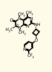 Cc1nc(N[C@H]2C[C@H](Oc3ccnc(C(F)(F)F)c3)C2)nc2c1N(C)C(=O)[C@H](C)N2C